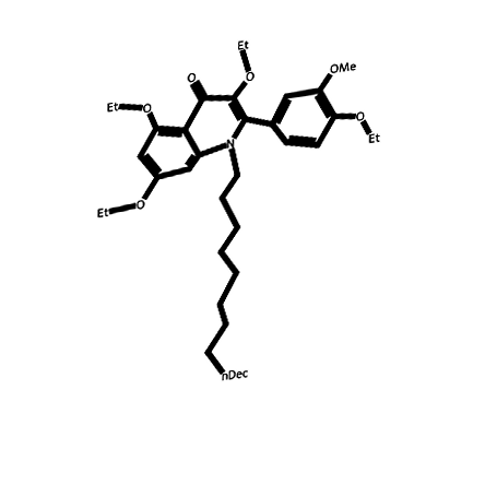 CCCCCCCCCCCCCCCCCCn1c(-c2ccc(OCC)c(OC)c2)c(OCC)c(=O)c2c(OCC)cc(OCC)cc21